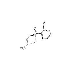 CC1CCN(C(=O)c2ccccc2CI)CC1